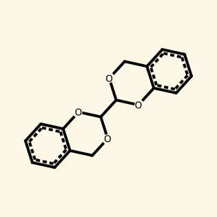 c1ccc2c(c1)COC(C1OCc3ccccc3O1)O2